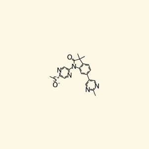 Cc1ncc(-c2ccc3c(c2)N(c2cnc([S+](C)[O-])cn2)C(=O)C3(C)C)cn1